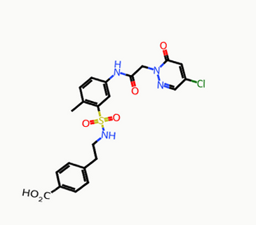 Cc1ccc(NC(=O)Cn2ncc(Cl)cc2=O)cc1S(=O)(=O)NCCc1ccc(C(=O)O)cc1